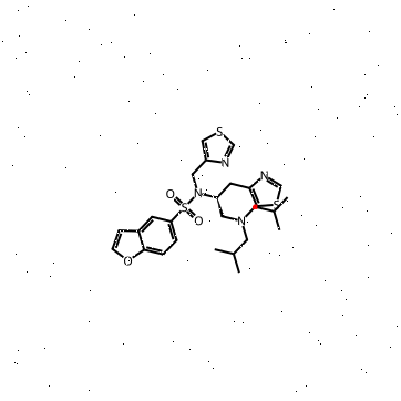 CC(C)CN(CC(C)C)C[C@H](Cc1cscn1)N(Cc1cscn1)S(=O)(=O)c1ccc2occc2c1